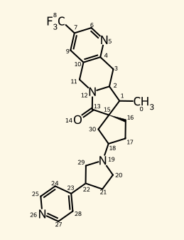 CC1C2Cc3ncc(C(F)(F)F)cc3CN2C(=O)[C@]12CCC(N1CCC(c3ccncc3)C1)C2